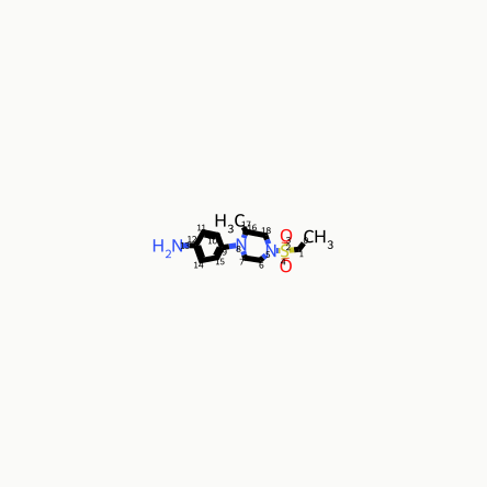 CCS(=O)(=O)N1CCN(c2ccc(N)cc2)C(C)C1